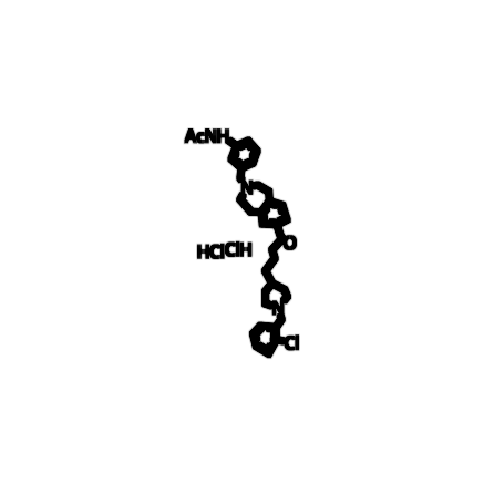 CC(=O)Nc1cccc(CN2CCc3ccc(C(=O)CCCC4CCN(Cc5ccccc5Cl)CC4)cc3CC2)c1.Cl.Cl